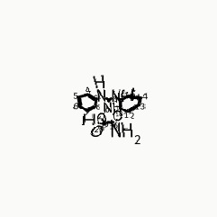 N=C(Nc1ccccc1)Nc1ccccc1.NC(=O)C(=O)O